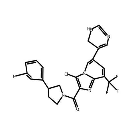 O=C(c1nc2c(C(F)(F)F)cc(C3=CN=CNC3)cn2c1Cl)N1CCC(c2cccc(F)c2)C1